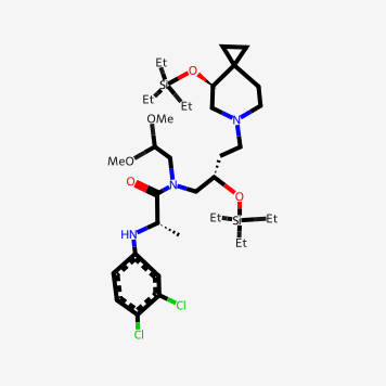 CC[Si](CC)(CC)O[C@@H](CCN1CCC2(CC2)[C@H](O[Si](CC)(CC)CC)C1)CN(CC(OC)OC)C(=O)[C@H](C)Nc1ccc(Cl)c(Cl)c1